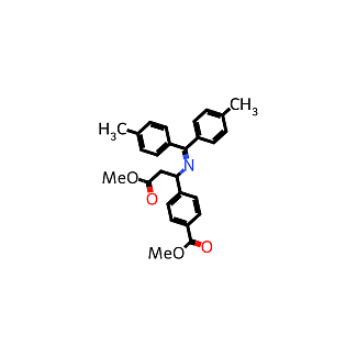 COC(=O)CC(N=C(c1ccc(C)cc1)c1ccc(C)cc1)c1ccc(C(=O)OC)cc1